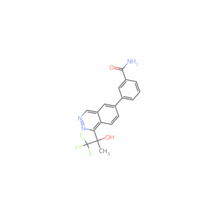 CC(O)(c1nncc2cc(-c3cccc(C(N)=O)c3)ccc12)C(F)(F)F